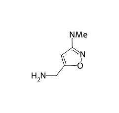 CNc1cc(CN)on1